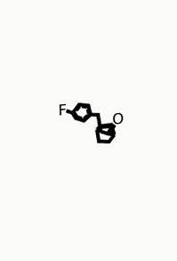 O=C1C2C=CC(CC2)C1Cc1ccc(F)cc1